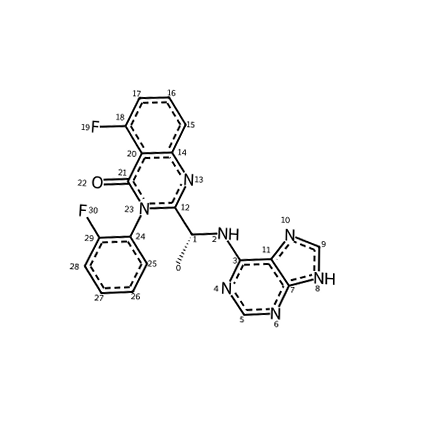 C[C@@H](Nc1ncnc2[nH]cnc12)c1nc2cccc(F)c2c(=O)n1-c1ccccc1F